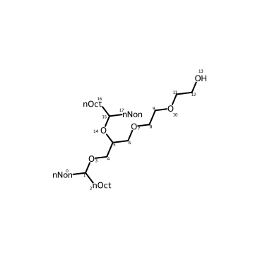 CCCCCCCCCC(CCCCCCCC)OCC(COCCOCCO)OC(CCCCCCCC)CCCCCCCCC